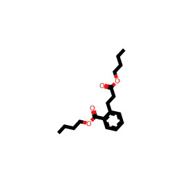 CCCCOC(=O)CCc1ccccc1C(=O)OCCCC